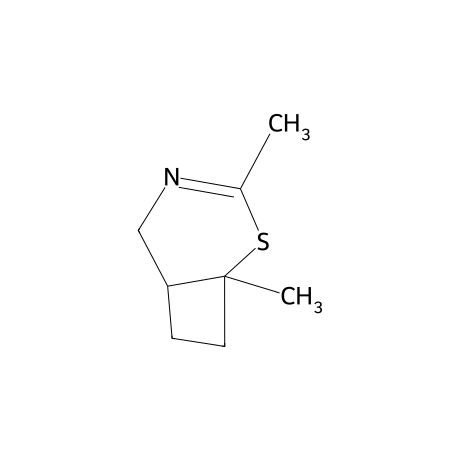 CC1=NCC2CCC2(C)S1